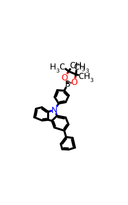 CC1(C)OB(c2ccc(-n3c4ccccc4c4cc(-c5ccccc5)ccc43)cc2)OC1(C)C